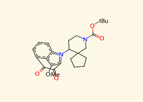 COc1c2n(C3CCN(C(=O)OC(C)(C)C)CC34CCCC4)c3cccc(c13)C(=O)C2=O